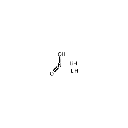 O=NO.[LiH].[LiH]